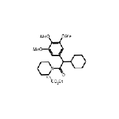 CCOC(=O)[C@@H]1CCCCN1C(=O)C(c1cc(OC)c(OC)c(OC)c1)C1CCCCC1